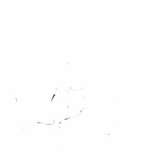 Cc1ccc(S(=O)(=O)[C@H]2[C@H](c3ccc(Cl)nc3)[C@H]3CC[C@@H]2N3C(=O)OC(C)(C)C)cc1